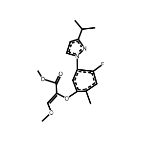 CO/C=C(\Oc1cc(-n2ccc(C(C)C)n2)c(F)cc1C)C(=O)OC